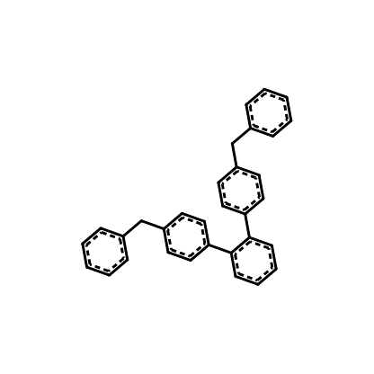 c1ccc(Cc2ccc(-c3ccccc3-c3ccc(Cc4ccccc4)cc3)cc2)cc1